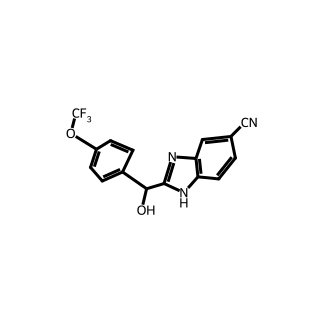 N#Cc1ccc2[nH]c(C(O)c3ccc(OC(F)(F)F)cc3)nc2c1